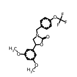 COc1cc(OC)cc(C2CN(Cc3ccc(OC(F)(F)F)cc3)C(=O)O2)c1